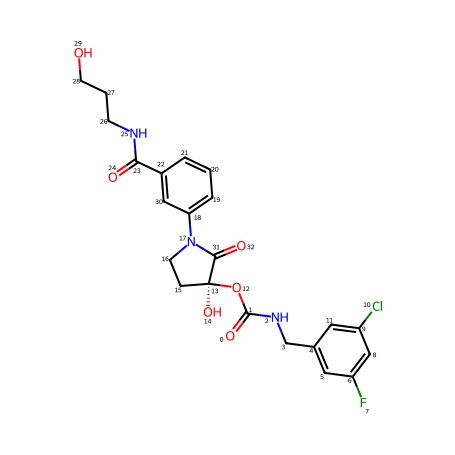 O=C(NCc1cc(F)cc(Cl)c1)O[C@@]1(O)CCN(c2cccc(C(=O)NCCCO)c2)C1=O